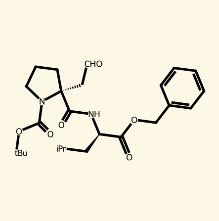 CC(C)C[C@@H](NC(=O)[C@]1(CC=O)CCCN1C(=O)OC(C)(C)C)C(=O)OCc1ccccc1